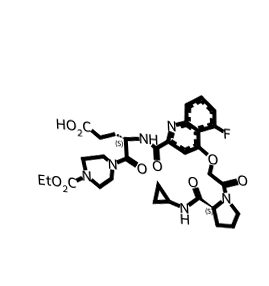 CCOC(=O)N1CCN(C(=O)[C@H](CCC(=O)O)NC(=O)c2cc(OCC(=O)N3CCC[C@H]3C(=O)NC3CC3)c3c(F)cccc3n2)CC1